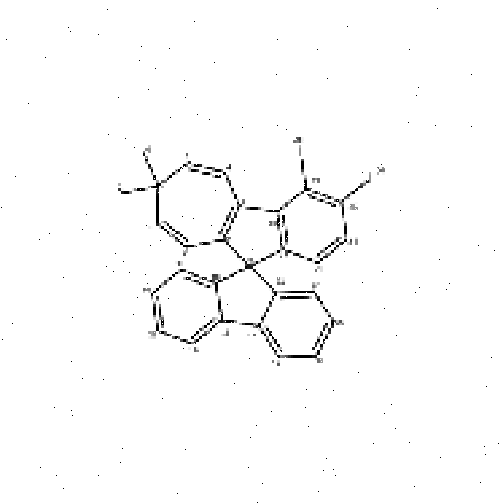 CC1(C)C=CC2=C(C=C1)C1(c3ccccc3-c3ccccc31)c1ccc(I)c(I)c12